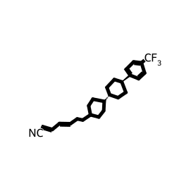 N#C/C=C/C=C/CCC1CCC([C@H]2CC[C@H](c3ccc(C(F)(F)F)cc3)CC2)CC1